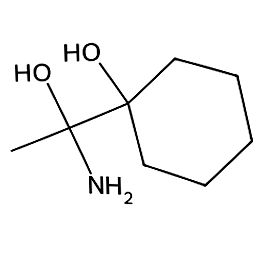 CC(N)(O)C1(O)CCCCC1